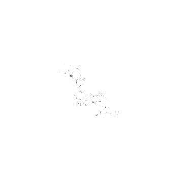 COc1cc(F)cc(-c2ccnc3[nH]c(-c4n[nH]c5ncc(-c6cncc(NC(=O)C7CCCCC7)c6)cc45)nc23)c1